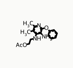 CC(=O)OCCNc1c(C)c(C)nc(Oc2ccccc2)c1N